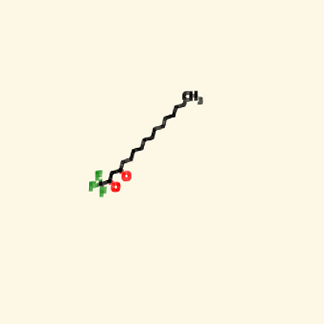 CCCCCCCCCCCCCC(=O)CC(=O)C(F)(F)F